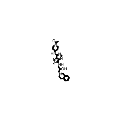 CC(=O)N1CCC(Nc2ncnc3c(NCC(O)CN4CCc5ccccc5C4)n(C)nc23)CC1